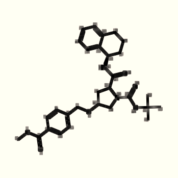 COC(=O)c1ccc(COC2CC(C(=O)N[C@@H]3CCCc4ccccc43)N(C(=O)OC(C)(C)C)C2)cc1